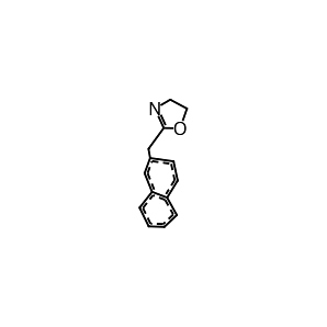 c1ccc2cc(CC3=NCCO3)ccc2c1